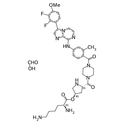 COc1ccc(-c2cnc3c(Nc4ccc(C(=O)N5CCN(C(=O)[C@@H]6C[C@@H](OC(=O)[C@@H](N)CCCCN)CN6)CC5)c(C)c4)nccn23)c(F)c1F.O=CO